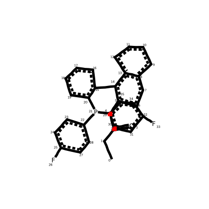 CCC(=O)Oc1ccc2ccccc2c1-c1ccccc1P(c1ccc(F)cc1)c1ccc(F)cc1